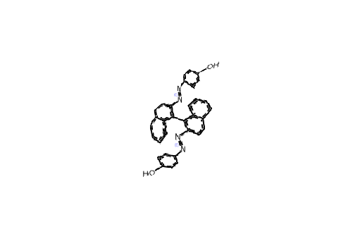 Oc1ccc(/N=N/c2ccc3ccccc3c2-c2c(/N=N/c3ccc(O)cc3)ccc3ccccc23)cc1